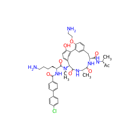 CC(=O)[C@H](C)NC(=O)[C@@H]1Cc2ccc(OCCN)c(c2)-c2cc(ccc2O)[C@H](N(C)C(=O)[C@H](CCCCN)NC(=O)c2ccc(-c3ccc(Cl)cc3)cc2)C(=O)N[C@@H](C)C(=O)N1